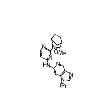 COC1C2CCC1N(c1nccc(Nc3cc4c(cn3)ncn4C(C)C)n1)C2